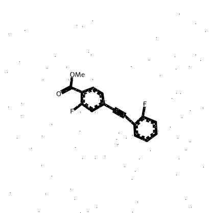 COC(=O)c1ccc(C#Cc2ccccc2F)cc1F